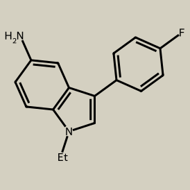 CCn1cc(-c2ccc(F)cc2)c2cc(N)ccc21